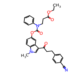 CCOC(=O)CCN(C(=O)Oc1ccc2c(c1)c(C(=O)CCc1ccc(C#N)cc1)cn2C)c1ccccc1